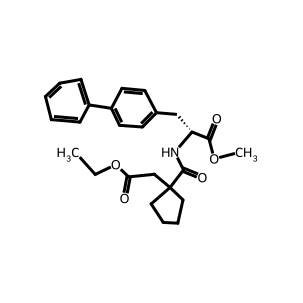 CCOC(=O)CC1(C(=O)N[C@H](Cc2ccc(-c3ccccc3)cc2)C(=O)OC)CCCC1